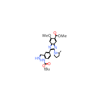 COC(=O)c1cc2nc(N3CCC[C@@H]3C)c(-c3ccc(NC(=O)OC(C)(C)C)c(C=N)c3)nc2cc1OC